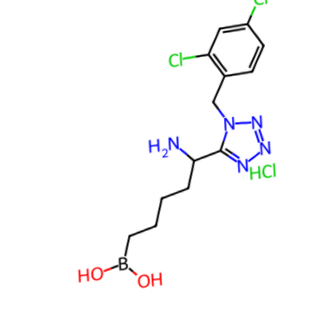 Cl.NC(CCCCB(O)O)c1nnnn1Cc1ccc(Cl)cc1Cl